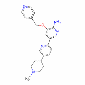 CN1CCC(c2ccc(-c3cnc(N)c(OCc4ccncc4)c3)nc2)CC1